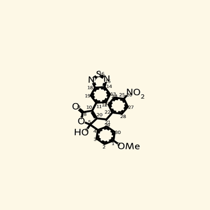 COc1ccc(C2(O)OC(=O)C(c3ccc4nsnc4c3)=C2Cc2ccc([N+](=O)[O-])cc2)cc1